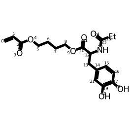 C=CC(=O)OCCCCOC(=O)C(Cc1ccc(O)c(O)c1)NC(=O)CC